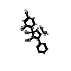 CCCC[N+]1=C(c2ccccc2)C=NC1(C#N)c1ccc(Cl)cc1Cl.O=[N+]([O-])[O-]